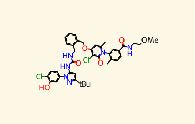 COCCNC(=O)c1ccc(C)c(-n2c(C)cc(OCc3ccccc3CNC(=O)Nc3cc(C(C)(C)C)nn3-c3ccc(Cl)c(O)c3)c(Cl)c2=O)c1